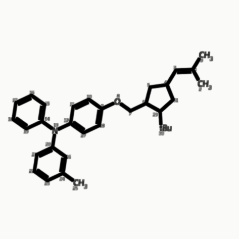 CC(C)=CC1CC(COc2ccc(N(c3ccccc3)c3cccc(C)c3)cc2)C(C(C)(C)C)C1